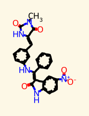 CN1C(=O)N/C(=C\c2cccc(N/C(=C3\C(=O)Nc4ccc([N+](=O)[O-])cc43)c3ccccc3)c2)C1=O